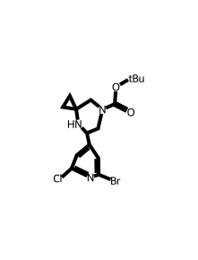 CC(C)(C)OC(=O)N1CC(c2cc(Cl)nc(Br)c2)NC2(CC2)C1